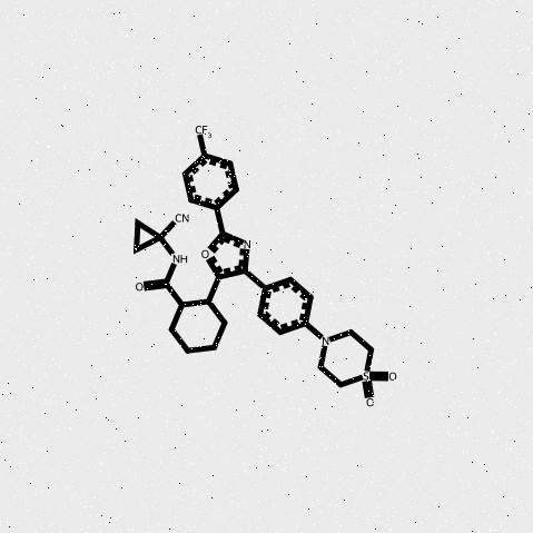 N#CC1(NC(=O)C2CCCCC2c2oc(-c3ccc(C(F)(F)F)cc3)nc2-c2ccc(N3CCS(=O)(=O)CC3)cc2)CC1